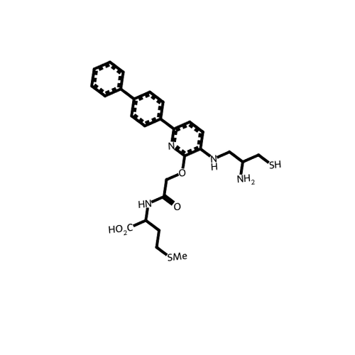 CSCCC(NC(=O)COc1nc(-c2ccc(-c3ccccc3)cc2)ccc1NCC(N)CS)C(=O)O